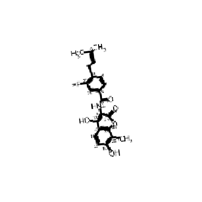 CC(C)=CCc1ccc(C(=O)Nc2c(O)c3ccc(O)c(C)c3oc2=O)cc1F